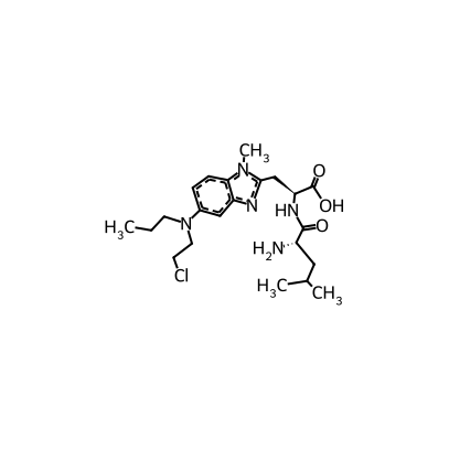 CCCN(CCCl)c1ccc2c(c1)nc(C[C@H](NC(=O)[C@@H](N)CC(C)C)C(=O)O)n2C